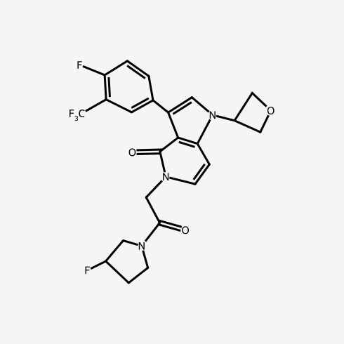 O=C(Cn1ccc2c(c(-c3ccc(F)c(C(F)(F)F)c3)cn2C2COC2)c1=O)N1CCC(F)C1